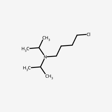 CC(C)N(CCCCCl)C(C)C